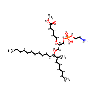 CCCCCCCCCCC[C@@H](OC[C@H](COP(=O)(O)OCCN)OCCCCC(=O)OC)C(C)CCCCCC